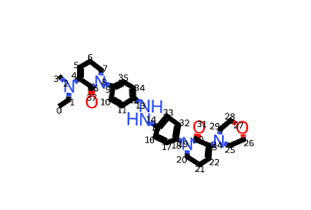 CCN(C)C1=CCCN(c2ccc(NNc3ccc(N4CCC=C(N5CCOCC5)C4=O)cc3)cc2)C1=O